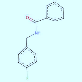 O=C(NCc1ccc(F)cc1)c1ccccc1